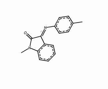 Cc1ccc(/N=C2/C(=O)N(C)c3ccccc32)cc1